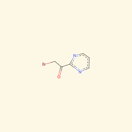 O=C(CBr)c1ncccn1